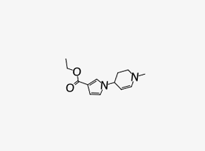 CCOC(=O)c1ccn(C2C=CN(C)CC2)c1